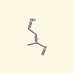 C=N/C(C)=C/C=N